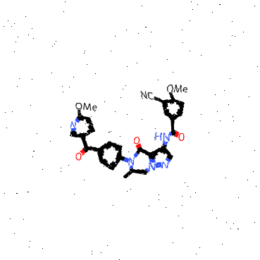 COc1ccc(C(=O)c2ccc(N3C(=O)c4c(NC(=O)c5ccc(OC)c(C#N)c5)cnn4CC3C)cc2)cn1